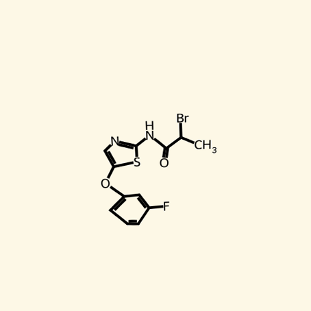 CC(Br)C(=O)Nc1ncc(Oc2cccc(F)c2)s1